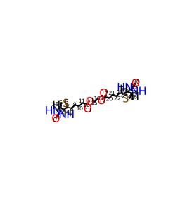 O=C1N[C@H]2[C@H](CS[C@H]2CCCCC(=O)OCCOC(=O)CCCC[C@@H]2SC[C@@H]3NC(=O)N[C@@H]32)N1